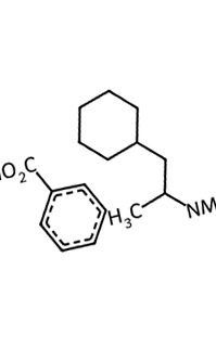 CNC(C)CC1CCCCC1.O=C(O)c1ccccc1